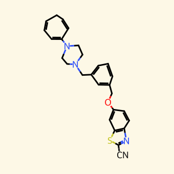 N#Cc1nc2ccc(OCc3cccc(CN4CCN(C5=CC=CCC=C5)CC4)c3)cc2s1